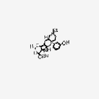 CCN1CC[C@@]2(c3cccc(O)c3)Cc3[nH]c(C(=O)OCC(C)C)c(C)c3C[C@@H]2C1